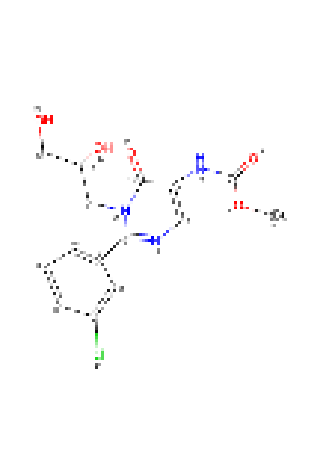 CC(C)(C)OC(=O)Nc1cnc(-c2cccc(Cl)c2)n(CC(O)CO)c1=O